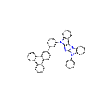 c1ccc(-n2c3ccccc3n3c4c5ccccc5n(-c5cccc(-c6ccc7c8ccccc8c8ccccc8c7c6)c5)c4nc23)cc1